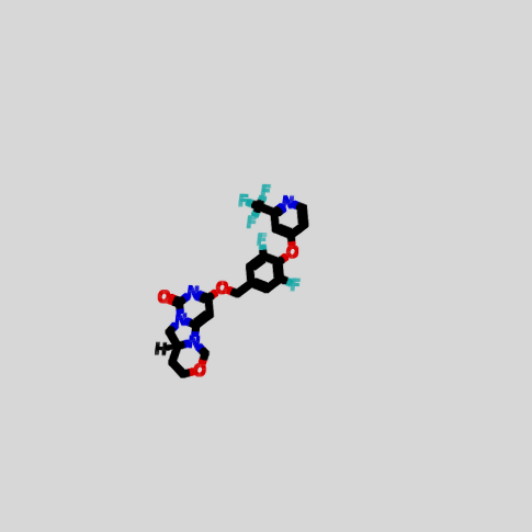 O=c1nc(OCc2cc(F)c(Oc3ccnc(C(F)(F)F)c3)c(F)c2)cc2n1C[C@H]1CCOCN21